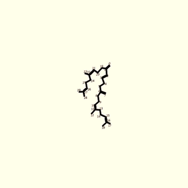 C=C(C=CCCC(=C)CCC=C(C)CCC=C(C)C)CCC=C(C)CCC=C(C)C